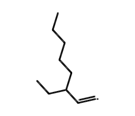 [CH]=CC(CC)CCCCC